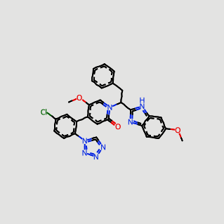 COc1ccc2nc(C(Cc3ccccc3)n3cc(OC)c(-c4cc(Cl)ccc4-n4cnnn4)cc3=O)[nH]c2c1